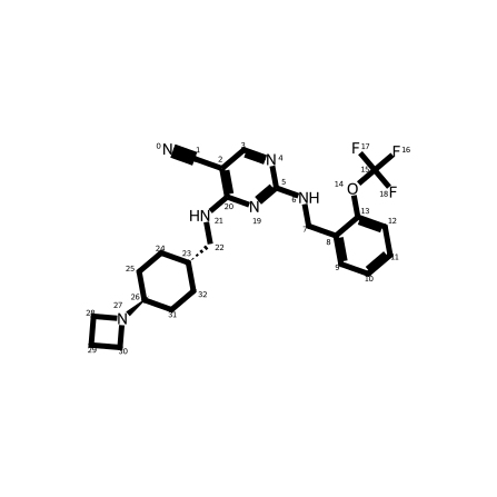 N#Cc1cnc(NCc2ccccc2OC(F)(F)F)nc1NC[C@H]1CC[C@H](N2CCC2)CC1